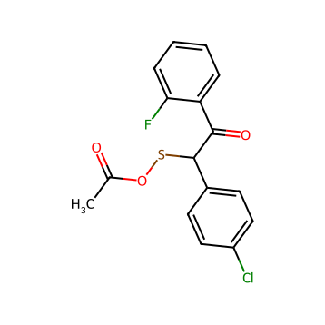 CC(=O)OSC(C(=O)c1ccccc1F)c1ccc(Cl)cc1